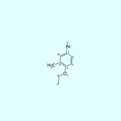 CC(=O)c1ccc(OCI)c(C)c1